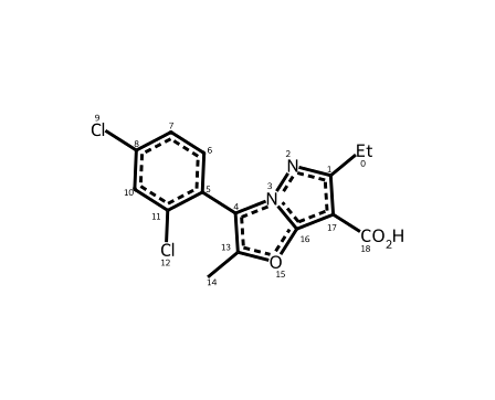 CCc1nn2c(-c3ccc(Cl)cc3Cl)c(C)oc2c1C(=O)O